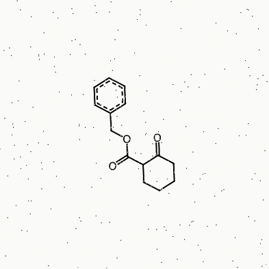 O=C1CCCCC1C(=O)OCc1ccccc1